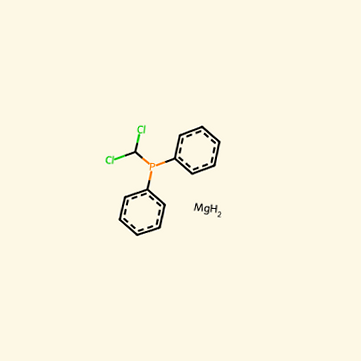 ClC(Cl)P(c1ccccc1)c1ccccc1.[MgH2]